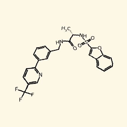 C[C@H](NS(=O)(=O)c1cc2ccccc2o1)C(=O)NCc1cccc(-c2ccc(C(F)(F)F)cn2)c1